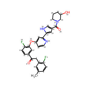 Cc1ccc(F)c(CC(=O)c2ccc(F)c(Oc3ccnc(-c4cc(C(=O)N5CCCC(O)C5)c[nH]4)c3)c2)c1